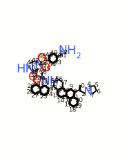 C=C(CN1CCCC1)c1cc2c3c(ccc2c2ccccc12)[C@H](c1ccc2ccccc2c1NC(=O)C[C@@H]1C(=O)NCCN1S(=O)(=O)c1ccc(CN)cc1)CCC3